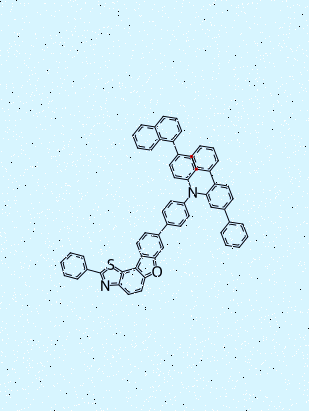 c1ccc(-c2ccc(-c3ccccc3)c(N(c3ccc(-c4ccc5c(c4)oc4ccc6nc(-c7ccccc7)sc6c45)cc3)c3ccc(-c4cccc5ccccc45)cc3)c2)cc1